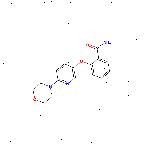 NC(=O)c1ccccc1Oc1ccc(N2CCOCC2)nc1